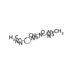 C=C1/C=C\C(c2cc(C)ncn2)=C/CCC[C@H]1N1CC2(CCN(C(=O)Cc3cn4cc(C)sc4n3)CC2)C1